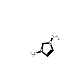 CN1C=CN(N)C1